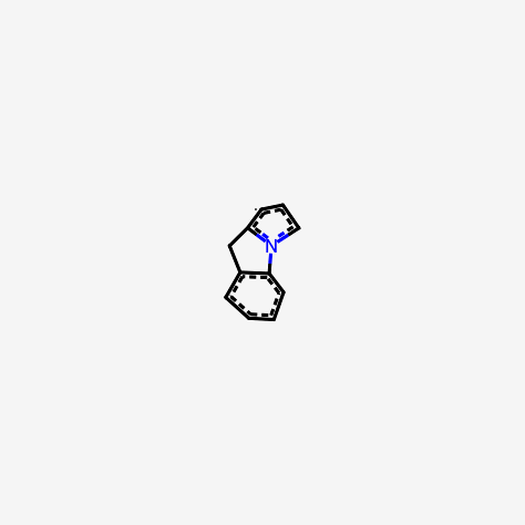 [c]1ccn2c1Cc1ccccc1-2